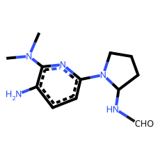 CN(C)c1nc(N2CCCC2NC=O)ccc1N